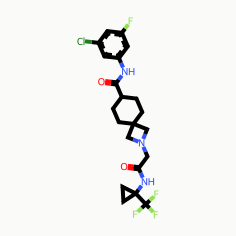 O=C(CN1CC2(CCC(C(=O)Nc3cc(F)cc(Cl)c3)CC2)C1)NC1(C(F)(F)F)CC1